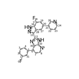 Fc1cccc(-c2ccnc3[nH]c(-c4n[nH]c5c(F)cc(-c6cccnc6)cc45)nc23)c1